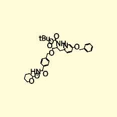 CC(C)(C)OC(=O)NC(Cc1ccc(OCc2ccccc2)cn1)C(=O)OCc1ccc(C(=O)NOC2CCCCO2)cc1